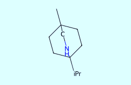 CC(C)C12CCC(C)(CC1)CN2